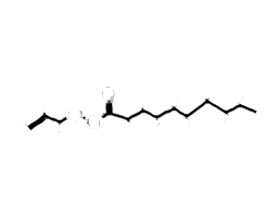 C=CCOOC(=O)CCCCCCCCC